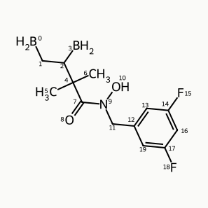 BCC(B)C(C)(C)C(=O)N(O)Cc1cc(F)cc(F)c1